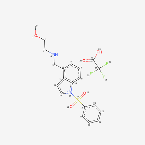 COCCNCc1cccc2c1ccn2S(=O)(=O)c1ccccc1.O=C(O)C(F)(F)F